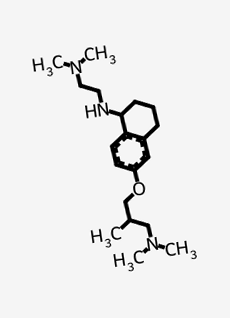 CC(COc1ccc2c(c1)CCCC2NCCN(C)C)CN(C)C